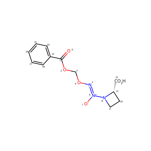 O=C(OCO/N=[N+](\[O-])N1CC[C@H]1C(=O)O)c1ccccc1